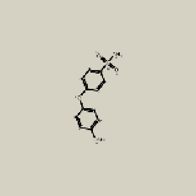 COc1ccc(Oc2ccc(S(N)(=O)=O)cc2)cc1